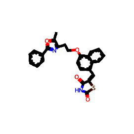 Cc1oc(-c2ccccc2)nc1CCOc1ccc(C=C2SC(=O)NC2=O)c2ccccc12